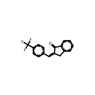 O=C1/C(=C\c2ccc(C(F)(F)F)cc2)Cc2ccccc21